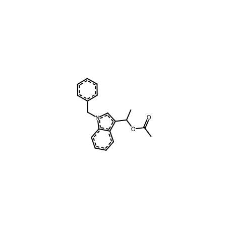 CC(=O)OC(C)c1cn(Cc2ccccc2)c2ccccc12